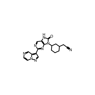 N#CCC1CCCC(n2c(=O)[nH]c3cnc(-c4cnn5ccncc45)nc32)C1